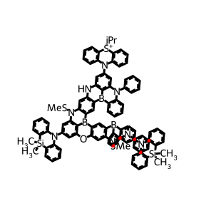 CSN1c2cc3c(cc2B2c4cc5c(cc4Oc4cc(N6c7ccccc7[Si](C)(C)c7ccccc76)cc1c42)N(SC)c1cc(N2c4ccccc4[Si](C)(C)c4ccccc42)cc2c1B5c1ccccc1N2c1ccccc1)B1c2ccccc2N(c2ccccc2)c2cc(N4c5ccccc5[S+](C(C)C)c5ccccc54)cc(c21)N3